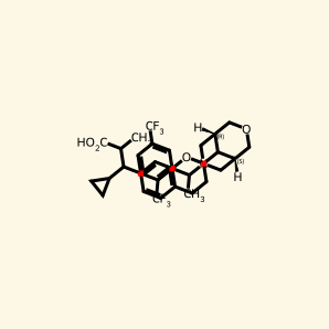 CC(C(=O)O)C(c1ccc2c(c1)OC(C1[C@@H]3COC[C@H]1CN(C(C)c1cc(C(F)(F)F)ccc1C(F)(F)F)C3)CC2)C1CC1